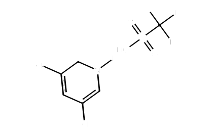 FN1C=C(Cl)C=C(Cl)C1.O=S(=O)(O)C(F)(F)F